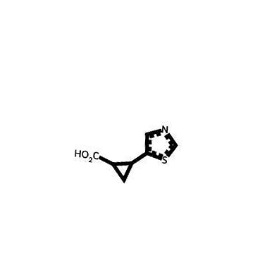 O=C(O)C1CC1c1cncs1